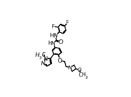 COC1CN(CCOc2ccc(NC(=O)Nc3ccc(F)cc3F)cc2-c2ccnn2C)C1